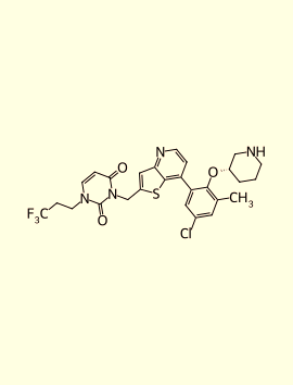 Cc1cc(Cl)cc(-c2ccnc3cc(Cn4c(=O)ccn(CCC(F)(F)F)c4=O)sc23)c1O[C@H]1CCCNC1